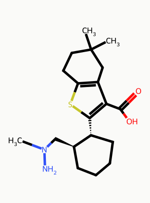 CN(N)C[C@@H]1CCCC[C@H]1c1sc2c(c1C(=O)O)CC(C)(C)CC2